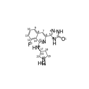 Cl.O=c1[nH]nc(-c2cc3cccc(F)c3c(N[C@H]3CCNC3)n2)[nH]1